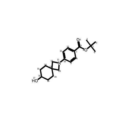 CC(C)(C)OC(=O)c1ccc(N2CC3(CCC(O)CC3)C2)cc1